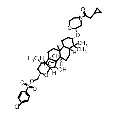 C[C@@H]1C[C@H](COS(=O)(=O)c2ccc(Cl)cc2)O[C@H]2[C@H]1[C@@]1(C)CCC34C[C@@]35CC[C@H](O[C@H]3CN(C(=O)CC6CC6)CCO3)C(C)(C)[C@@H]5CC[C@H]4[C@]1(C)[C@H]2O